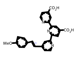 COc1ccc(/C=C/c2ccnc(-c3cc(C(=O)O)cc(-c4cc(C(=O)O)ccn4)n3)c2)cc1